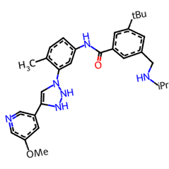 COc1cncc(C2=CN(c3cc(NC(=O)c4cc(CNC(C)C)cc(C(C)(C)C)c4)ccc3C)NN2)c1